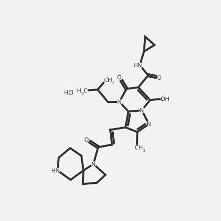 Cc1nn2c(O)c(C(=O)NC3CC3)c(=O)n(CC(C)C)c2c1C=CC(=O)N1CCCC12CCCNC2.Cl